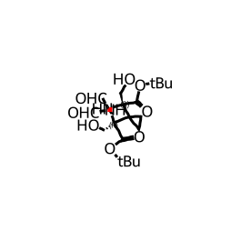 CC(C)(C)OC(=O)[C@@](CO)(NC=O)C1([C@](CO)(NC=O)C(=O)OC(C)(C)C)CC1